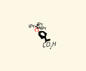 CC(C(=O)O)c1ccc(O[Si](C(C)C)(C(C)C)C(C)C)cc1